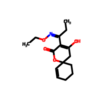 CCO/N=C(/CC)C1=C(O)CC2(C=CCCC2)OC1=O